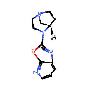 c1cnc2oc(N3CCN4CC[C@H]3C4)nc2c1